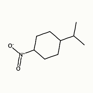 CC(C)C1CCC([N+](=O)[O-])CC1